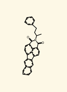 CC(CCc1ccccc1)N1C(=O)c2ccc3c4c(ccc(c24)C1=O)-c1cc2ccccc2cc1-3